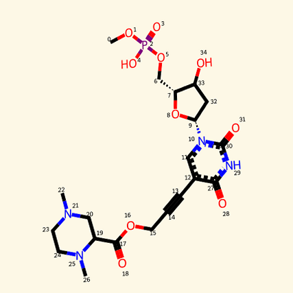 COP(=O)(O)OC[C@H]1O[C@@H](n2cc(C#CCOC(=O)C3CN(C)CCN3C)c(=O)[nH]c2=O)CC1O